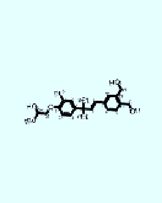 CCc1cc(C(C=Cc2ccc(CO)c(CO)c2)(CC)CC)ccc1OCC(O)C(C)(C)C